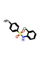 CCCc1ccc(S(=O)(=O)Nc2ccccc2Cl)cc1